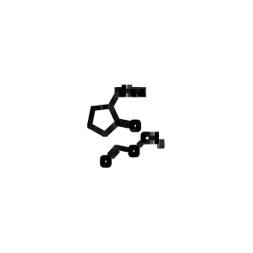 CCCCCCC1CCCC1=O.COC=O